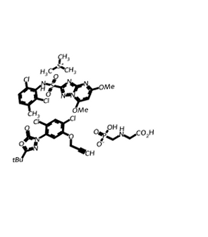 C#CCOc1cc(-n2nc(C(C)(C)C)oc2=O)c(Cl)cc1Cl.COc1cc(OC)n2nc(S(=O)(=O)Nc3c(Cl)ccc(C)c3Cl)nc2n1.C[S+](C)C.O=C(O)CNCP(=O)([O-])O